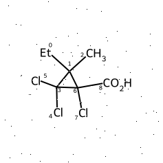 CCC1(C)C(Cl)(Cl)C1(Cl)C(=O)O